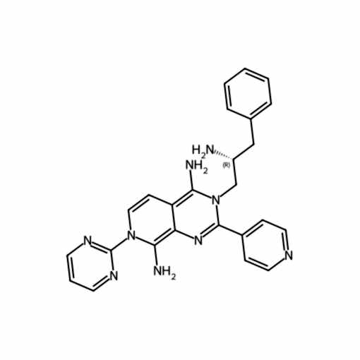 NC1=C2C=CN(c3ncccn3)C(N)=C2N=C(c2ccncc2)N1C[C@H](N)Cc1ccccc1